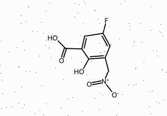 O=C(O)c1cc(F)cc(C[N+](=O)[O-])c1O